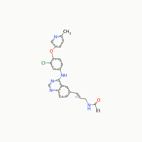 CCC(=O)NC/C=C/c1ccc2ncnc(Nc3ccc(Oc4ccc(C)nc4)c(Cl)c3)c2c1